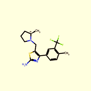 Cc1ccc(-c2nc(N)sc2CN2CCC[C@H]2C)cc1C(F)(F)F